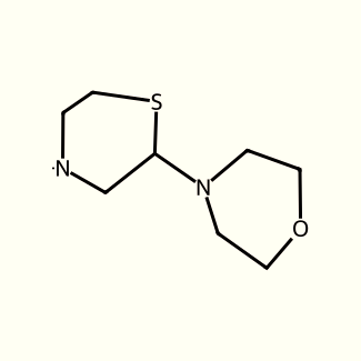 C1CSC(N2CCOCC2)C[N]1